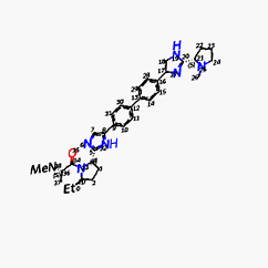 CC[C@@H]1CC[C@@H](c2ncc(-c3ccc(-c4ccc(C5CNC([C@@H]6CCCN6C)=N5)cc4)cc3)[nH]2)N1C(=O)[C@H](C)NC